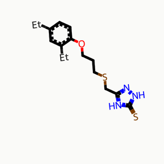 CCc1ccc(OCCCSCc2n[nH]c(=S)[nH]2)c(CC)c1